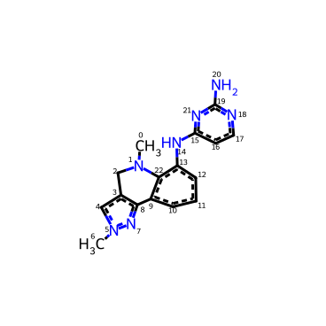 CN1Cc2cn(C)nc2-c2cccc(Nc3ccnc(N)n3)c21